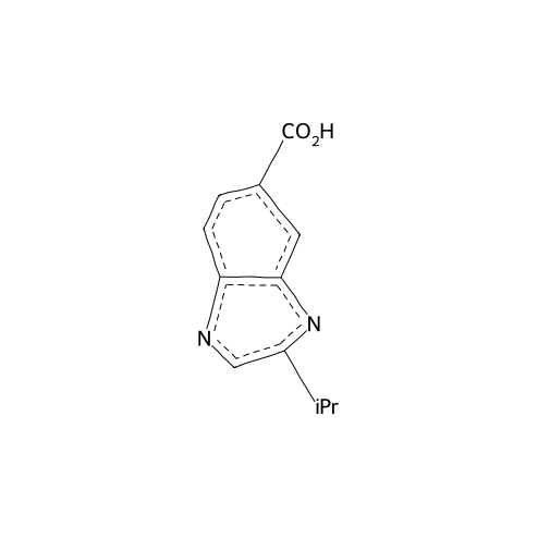 CC(C)c1cnc2ccc(C(=O)O)cc2n1